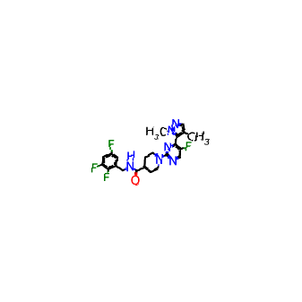 Cc1cnn(C)c1-c1nc(N2CCC(C(=O)NCc3cc(F)cc(F)c3F)CC2)ncc1F